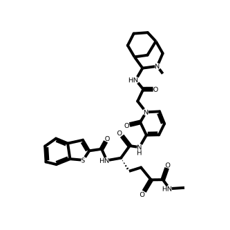 CNC(=O)C(=O)CC[C@H](NC(=O)c1cc2ccccc2s1)C(=O)Nc1cccn(CC(=O)NC2C3CCCC(C3)CN2C)c1=O